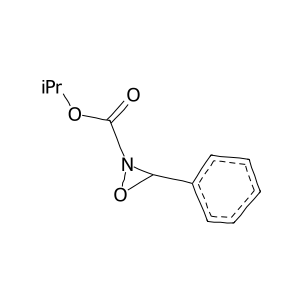 CC(C)OC(=O)N1OC1c1ccccc1